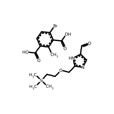 C[Si](C)(C)CCOCc1ncc(C=O)[nH]1.Cc1c(C(=O)O)ccc(Br)c1C(=O)O